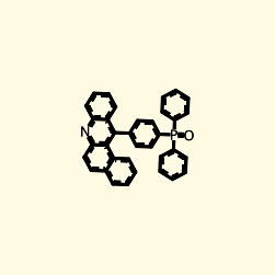 O=P(c1ccccc1)(c1ccccc1)c1ccc(-c2c3ccccc3nc3ccc4ccccc4c23)cc1